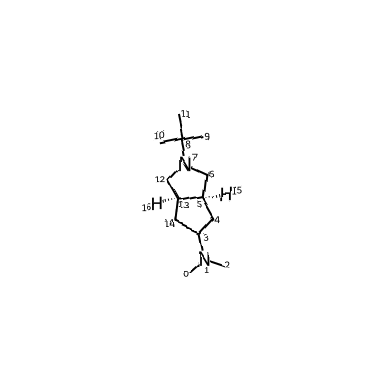 CN(C)C1C[C@@H]2CN(C(C)(C)C)C[C@@H]2C1